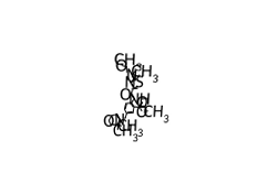 COCCN(C)c1nc(C(=O)Nc2ccc(CN3CCOCC3(C)C)cc2C(=O)OC)cs1